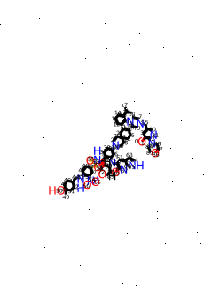 COc1cc(CN2CCN(c3ccccc3C(C)C)[C@@H](C3CCC4(CC3)CCN(c3ccc(C(=O)NS(=O)(=O)c5ccc(NCC6CCC(C)(O)CC6)c([N+](=O)[O-])c5)c(N5c6cc7cc[nH]c7nc6O[C@H]6COCC[C@@H]65)c3)CC4)C2)cnc1N1CCOCC1